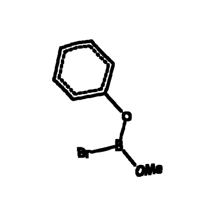 COB(Br)Oc1ccccc1